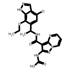 CCOc1c(C(C)NC(=O)c2c(NC(=O)O)nn3cccnc23)cc(Cl)c2cn[nH]c12